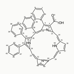 O=C(O)C1=C(c2ccccc2)c2nc1cc1ccc(cc3nc(cc4[nH]c(c2-c2ccccc2)c(-c2ccccc2)c4-c2ccccc2)C=C3)[nH]1